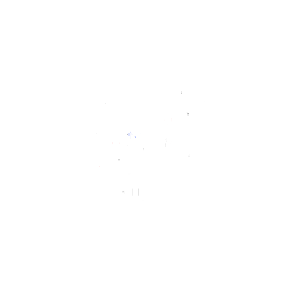 C=C(C[C@H](N)C(=O)OCC)C(=O)OCC